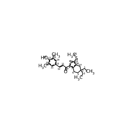 CCC1(CC)CCc2c(C(=O)C=Cc3cc(C)c(O)c(C)c3)sc(SC)c2C1